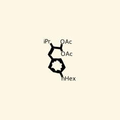 CCCCCCc1ccc(C=C(C(C)C)C(OC(C)=O)OC(C)=O)cc1